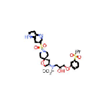 CC(C)S(=O)(=O)c1cccc(OC[C@@H](O)CN(C(=O)O)[C@H]2COC3(CCN(S(=O)(=O)c4cnc5cc[nH]c5c4)CC3)C2)c1